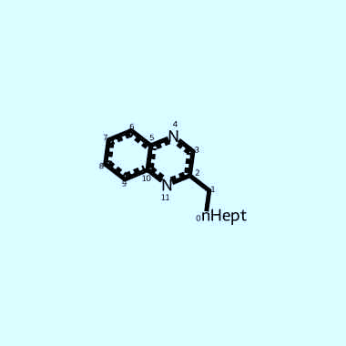 CCCCCCCCc1cnc2ccccc2n1